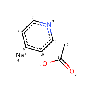 CC(=O)[O-].[Na+].c1ccncc1